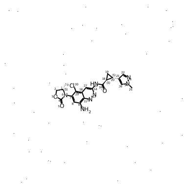 C[C@H]1COC(=O)N1c1cc(N)c2nnc(NC(=O)[C@H]3C[C@@H]3c3cnn(C)c3)cc2c1Cl